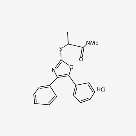 CNC(=O)C(C)Sc1nc(-c2ccccc2)c(-c2ccccc2)o1.Cl